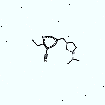 CCc1ncc(CN2CC[C@H](N(C)C)C2)cc1C#N